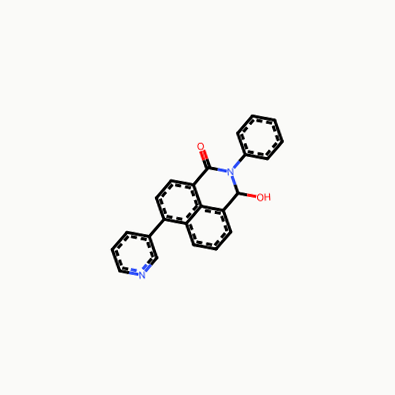 O=C1c2ccc(-c3cccnc3)c3cccc(c23)C(O)N1c1ccccc1